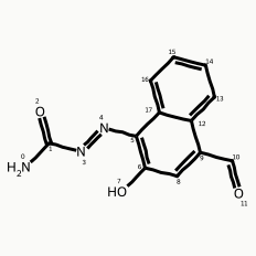 NC(=O)N=Nc1c(O)cc(C=O)c2ccccc12